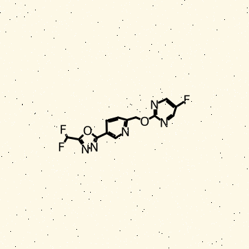 Fc1cnc(OCc2ccc(-c3nnc(C(F)F)o3)cn2)nc1